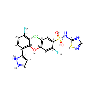 O=S(=O)(Nc1ncns1)c1cc(Cl)c(Oc2cc(F)ccc2-c2ccn[nH]2)cc1F